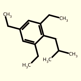 CCc1cc(CC)c([CH]C(C)C)c(CC)c1